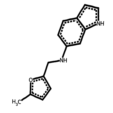 Cc1ccc(CNc2ccc3cc[nH]c3c2)o1